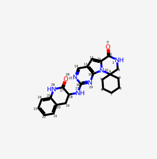 O=C1NCC2(CCCCC2)n2c1cc1cnc(NC3Cc4ccccc4NC3=O)nc12